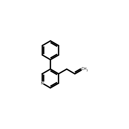 C=CCc1ccn[c]c1-c1ccccc1